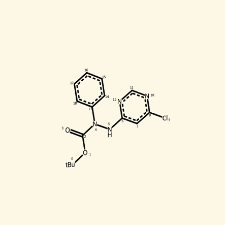 CC(C)(C)OC(=O)N(Nc1cc(Cl)ncn1)c1ccccc1